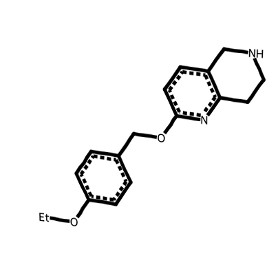 CCOc1ccc(COc2ccc3c(n2)CCNC3)cc1